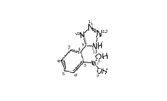 OB(O)c1ccccc1-c1nnn[nH]1